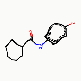 O=C(Nc1ccc(O)cc1)C1CCCCC1